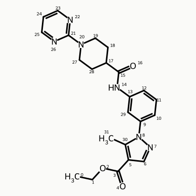 CCOC(=O)c1cnn(-c2cccc(NC(=O)C3CCN(c4ncccn4)CC3)c2)c1C